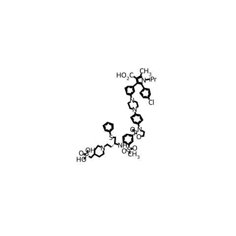 Cc1c(C(=O)O)c(-c2cccc(N3CCN(c4ccc(N5CCO[P@@]5(=O)c5ccc(N[C@H](CCN6CCC(CP(=O)(O)O)CC6)CSc6ccccc6)c(S(C)(=O)=O)c5)cc4)CC3)c2)c(-c2ccc(Cl)cc2)n1C(C)C